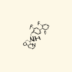 Fc1cc(-c2c(F)cccc2F)ccc1CNC1CCOc2cccnc21